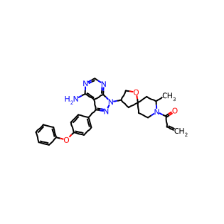 C=CC(=O)N1CCC2(CC1C)CC(n1nc(-c3ccc(Oc4ccccc4)cc3)c3c(N)ncnc31)CO2